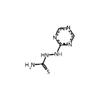 NC(=S)NNc1ncncn1